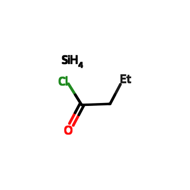 CCCC(=O)Cl.[SiH4]